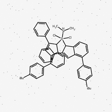 CCC(C)c1ccc(-c2cccc3c2C=C(c2ccccc2)[CH]3[Zr]([Cl])([Cl])([CH]2C(c3ccccc3)=Cc3c(-c4ccc(C(C)CC)cc4)cccc32)[SiH](C)C)cc1